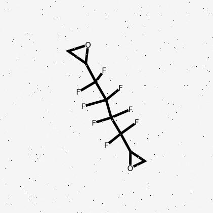 FC(F)(C1CO1)C(F)(F)C(F)(F)C(F)(F)C1CO1